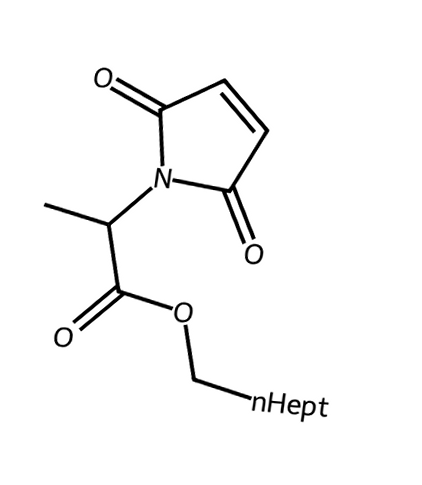 CCCCCCCCOC(=O)C(C)N1C(=O)C=CC1=O